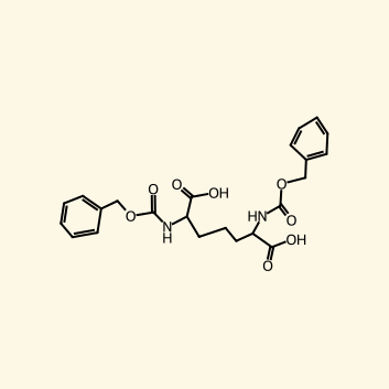 O=C(NC(CCCC(NC(=O)OCc1ccccc1)C(=O)O)C(=O)O)OCc1ccccc1